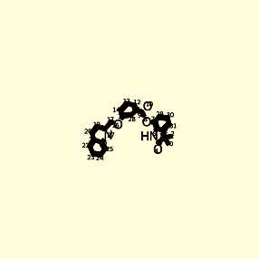 CC1(C)C(=O)Nc2c(OC(=O)c3cccc(OCc4ccc5ccccc5n4)c3)cccc21